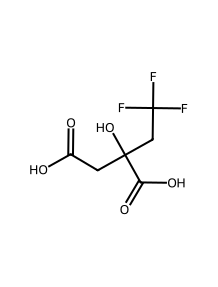 O=C(O)CC(O)(CC(F)(F)F)C(=O)O